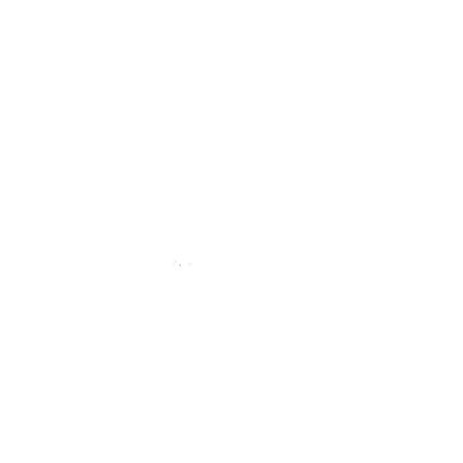 CCCCCCCCCC(CCCCCCCC(=O)O)OC1CCCCC1